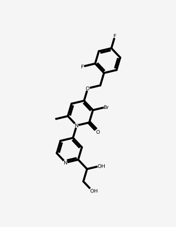 Cc1cc(OCc2ccc(F)cc2F)c(Br)c(=O)n1-c1ccnc(C(O)CO)c1